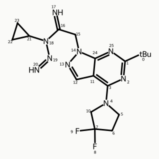 CC(C)(C)c1nc(N2CCC(F)(F)C2)c2cnn(CC(=N)N(N=N)C3CC3)c2n1